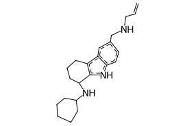 C=CCNCc1ccc2[nH]c3c(c2c1)CCCC3NC1CCCCC1